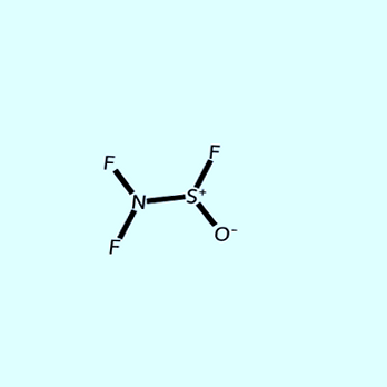 [O-][S+](F)N(F)F